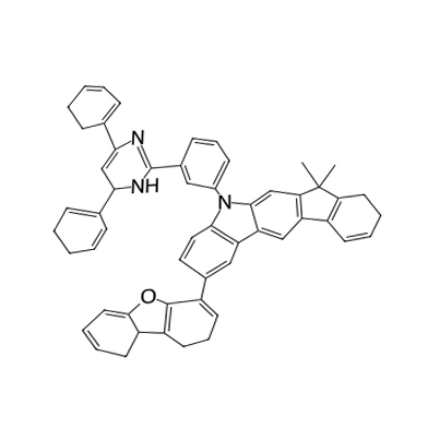 CC1(C)C2=C(C=CCC2)c2cc3c4cc(C5=CCCC6=C5OC5=CC=CCC56)ccc4n(-c4cccc(C5=NC(C6=CC=CCC6)=CC(C6=CCCC=C6)N5)c4)c3cc21